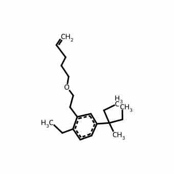 C=CCCCOCCc1cc(C(C)(CC)CC)ccc1CC